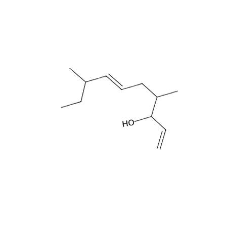 C=CC(O)C(C)C/C=C/C(C)CC